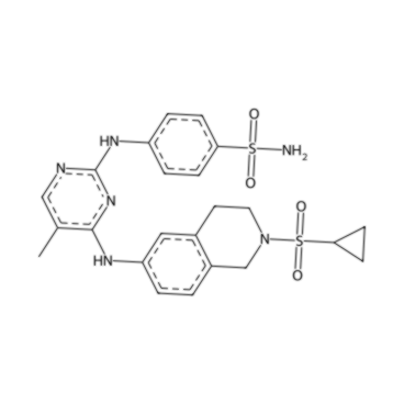 Cc1cnc(Nc2ccc(S(N)(=O)=O)cc2)nc1Nc1ccc2c(c1)CCN(S(=O)(=O)C1CC1)C2